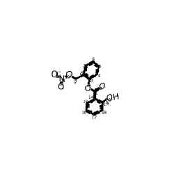 O=C(Oc1ccccc1CO[N+](=O)[O-])c1ccccc1O